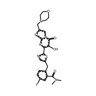 CN(C)C(=O)c1cc(F)ccc1Cc1cnc(-c2nc3sc(CN4CCOCC4)cn3c(=O)c2O)s1